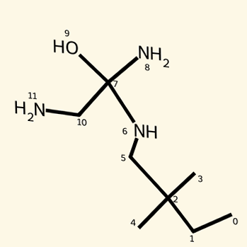 CCC(C)(C)CNC(N)(O)CN